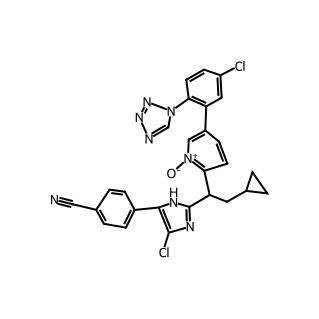 N#Cc1ccc(-c2[nH]c(C(CC3CC3)c3ccc(-c4cc(Cl)ccc4-n4cnnn4)c[n+]3[O-])nc2Cl)cc1